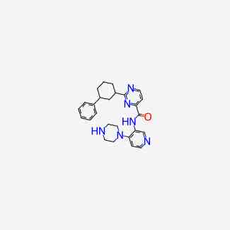 O=C(Nc1cnccc1N1CCNCC1)c1ccnc(C2CCCC(c3ccccc3)C2)n1